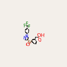 O=C(O)Cc1cccc([S+]([O-])c2cnn(-c3ccc(C(F)(F)F)cc3)c2)c1